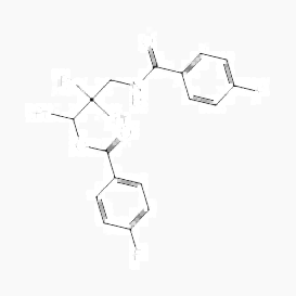 CC(C)C(OC(=O)c1ccc(F)cc1)C(CNC(=O)c1ccc(F)cc1)(C(C)C)C(C)C